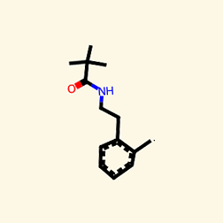 [CH2]c1ccccc1CCNC(=O)C(C)(C)C